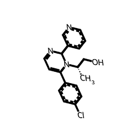 C[C@@H](CO)N1C(c2ccc(Cl)cc2)=CC=NC1c1cccnc1